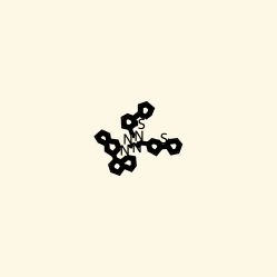 c1ccc2cc3c(cc2c1)-c1cccc2cccc(c12)N3c1nc(-c2ccc3c(c2)sc2ccccc23)nc(-c2cccc3c2sc2ccccc23)n1